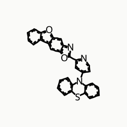 c1ccc2c(c1)Sc1ccccc1N2c1ccnc(-c2nc3cc4oc5ccccc5c4cc3o2)c1